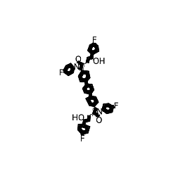 O=C1[C@H](CC[C@H](O)c2ccc(F)cc2)[C@@H](c2ccc(-c3ccc(-c4ccc([C@@H]5[C@@H](CC[C@H](O)c6ccc(F)cc6)C(=O)N5c5ccc(F)cc5)cc4)cc3)cc2)N1c1ccc(F)cc1